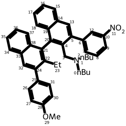 CCCCN(CCCC)Cc1c(-c2cccc([N+](=O)[O-])c2)cc2ccccc2c1-c1c(CC)c(-c2ccc(OC)cc2)cc2ccccc12